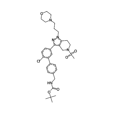 CC(C)(C)OC(=O)NCc1ccc(-c2cc(-c3nn(CCCN4CCOCC4)c4c3CN(S(C)(=O)=O)CC4)ccc2Cl)cc1